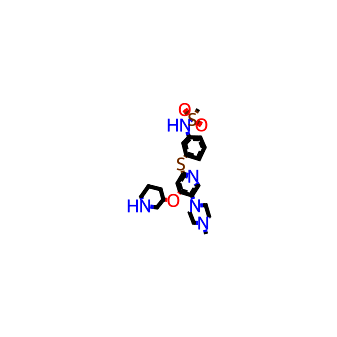 CN1CCN(c2cnc(Sc3cccc(NS(C)(=O)=O)c3)cc2OC2CCCNC2)CC1